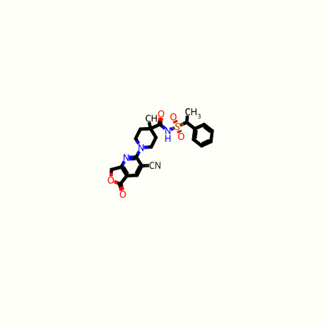 CC(c1ccccc1)S(=O)(=O)NC(=O)C1(C)CCN(c2nc3c(cc2C#N)C(=O)OC3)CC1